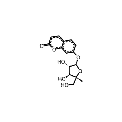 C[C@]1(CO)O[C@H](Oc2ccc3ccc(=O)oc3c2)[C@@H](O)[C@@H]1O